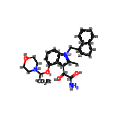 CCOC(=O)C(Oc1cccc2c1c(C(=O)C(N)=O)c(C)n2Cc1cccc2ccccc12)N1CCOCC1